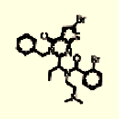 CCC(c1nc2sc(Br)cc2c(=O)n1Cc1ccccc1)N(CCN(C)C)C(=O)c1ccccc1Br